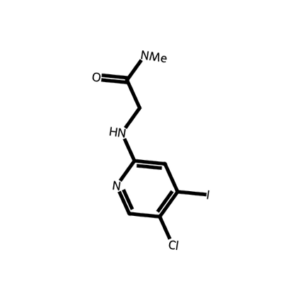 CNC(=O)CNc1cc(I)c(Cl)cn1